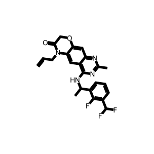 C=CCN1C(=O)COc2cc3nc(C)nc(NC(C)c4cccc(C(F)F)c4F)c3cc21